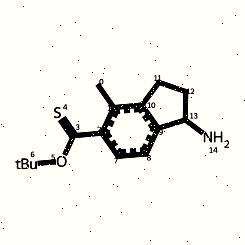 Cc1c(C(=S)OC(C)(C)C)ccc2c1CCC2N